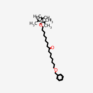 CC(C)[Si](OCCCCCCCCC(=O)CCCCCCCOCc1ccccc1)(C(C)C)C(C)C